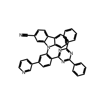 N#Cc1ccc2c3ccccc3n(-c3cc(-c4cccnc4)ccc3-c3nc(-c4ccccc4)nc(-c4ccccc4)n3)c2c1